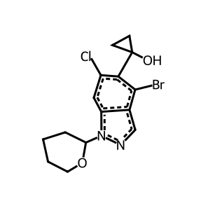 OC1(c2c(Cl)cc3c(cnn3C3CCCCO3)c2Br)CC1